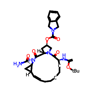 C=C(N[C@H]1CCCCC/C=C\[C@@H]2C[C@@]2(C(N)=O)NC(=O)[C@@H]2C[C@@H](OC(=O)N3Cc4ccccc4C3)CN2C1=O)OC(C)(C)C